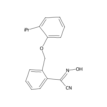 CC(C)c1ccccc1OCc1ccccc1C(C#N)=NO